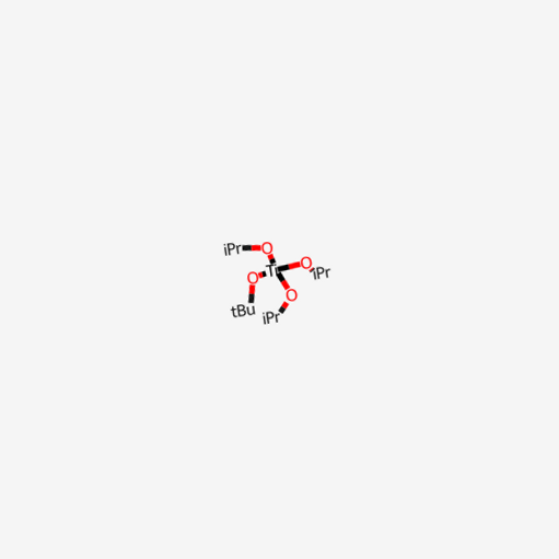 CC(C)[O][Ti]([O]C(C)C)([O]C(C)C)[O]C(C)(C)C